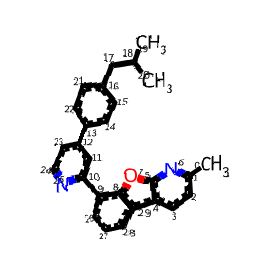 Cc1ccc2c(n1)oc1c(-c3cc(-c4ccc(CC(C)C)cc4)ccn3)cccc12